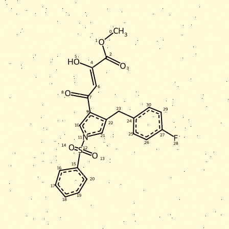 COC(=O)/C(O)=C/C(=O)c1cn(S(=O)(=O)c2ccccc2)cc1Cc1ccc(F)cc1